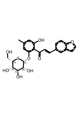 Cc1cc(O)c(C(=O)C=Cc2ccc3occc3c2)c(O[C@H]2S[C@@H](CO)[C@@H](O)[C@H](O)[C@H]2O)c1